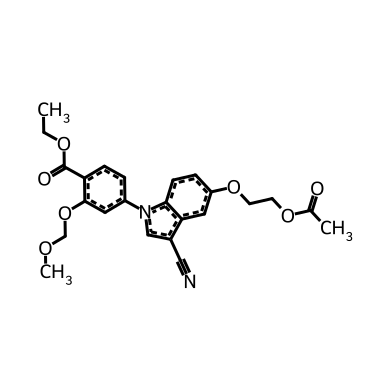 CCOC(=O)c1ccc(-n2cc(C#N)c3cc(OCCOC(C)=O)ccc32)cc1OCOC